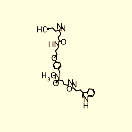 C#CCCC1(CCC(=O)NCCCOc2ccc(CN(C)C(=O)CCc3nnc(CCc4c[nH]c5ccccc45)o3)cc2)N=N1